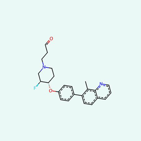 Cc1c(-c2ccc(O[C@H]3CCN(CCC=O)C[C@@H]3F)cc2)ccc2cccnc12